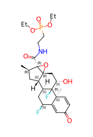 CCOP(=O)(CCNC(=O)[C@]12O[C@@]13C[C@H](O)[C@@]1(F)[C@@H](C[C@H](F)C4=CC(=O)C=C[C@@]41C)[C@@H]3C[C@H]2C)OCC